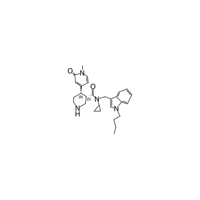 CCCCn1cc(CN(C(=O)[C@@H]2CNCC[C@H]2c2ccn(C)c(=O)c2)C2CC2)c2ccccc21